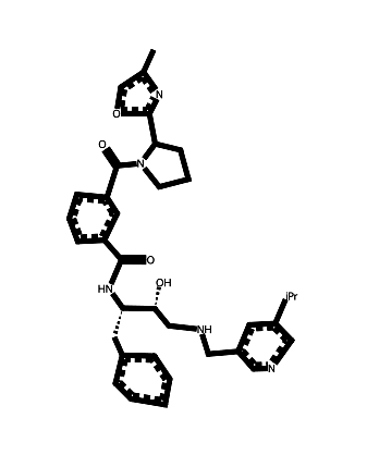 Cc1coc(C2CCCN2C(=O)c2cccc(C(=O)N[C@@H](Cc3ccccc3)[C@H](O)CNCc3cncc(C(C)C)c3)c2)n1